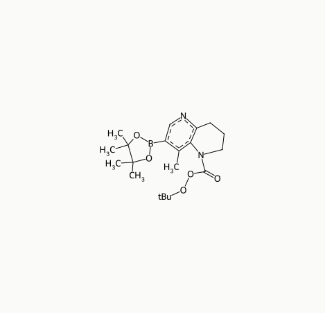 Cc1c(B2OC(C)(C)C(C)(C)O2)cnc2c1N(C(=O)OOC(C)(C)C)CCC2